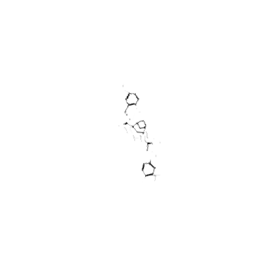 Cc1ccc(C)c(CNC(=O)[C@@H]2C[C@H](NC(=O)COc3ccc(Cl)c(F)c3)C3CC2C3)c1